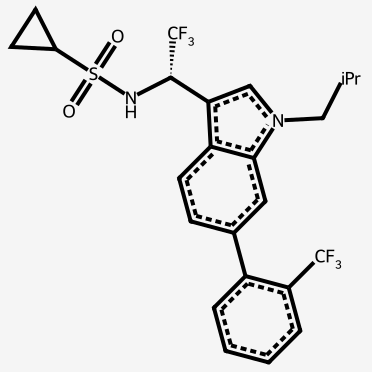 CC(C)Cn1cc([C@H](NS(=O)(=O)C2CC2)C(F)(F)F)c2ccc(-c3ccccc3C(F)(F)F)cc21